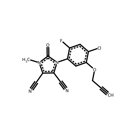 C#CCOc1cc(-n2c(C#N)c(C#N)n(C)c2=O)c(F)cc1Cl